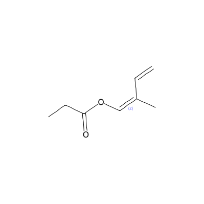 C=C/C(C)=C\OC(=O)CC